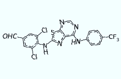 O=Cc1cc(Cl)c(Nc2nc3c(Nc4ccc(C(F)(F)F)cc4)ncnc3s2)c(Cl)c1